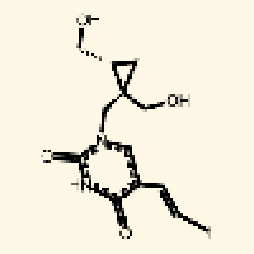 O=c1[nH]c(=O)n(C[C@]2(CO)C[C@H]2CO)cc1/C=C/I